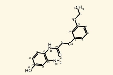 CCOc1cccc(OCC(=O)Nc2ccc(O)cc2N)c1